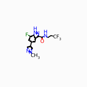 Cn1cc(-c2cc(F)c3[nH]nc(C(=O)NCCC(F)(F)F)c3c2)cn1